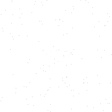 C[Si](C)(C)OC[C@@H]1C[C@H](O)CC(O)(c2cc(Cc3ccc(C4CC4)cc3)c(Cl)c3c2CCO3)O1